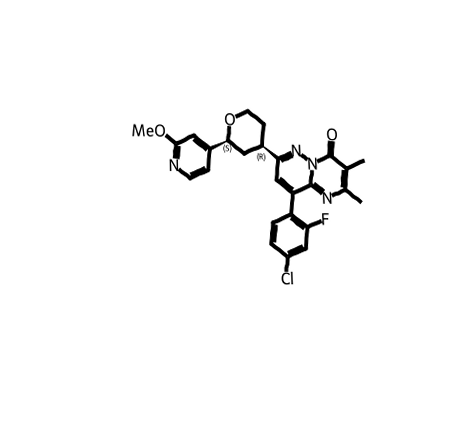 COc1cc([C@@H]2C[C@H](c3cc(-c4ccc(Cl)cc4F)c4nc(C)c(C)c(=O)n4n3)CCO2)ccn1